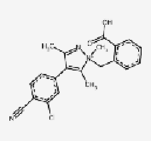 CC1=N[N+](C)(Cc2ccccc2C(=O)O)C(C)=C1c1ccc(C#N)c(Cl)c1